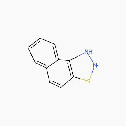 c1ccc2c3c(ccc2c1)S[N]N3